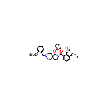 Cc1cccc(C(=O)N2CCC3(CCN(Cc4ccccc4OCC(C)C)CC3)C2OC(=O)C(F)(F)F)c1C